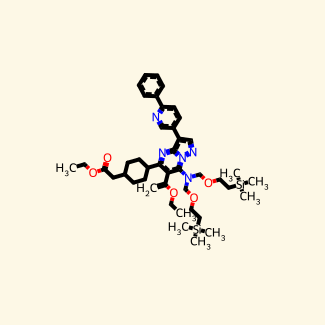 C=C(OCC)c1c(C2CCC(CC(=O)OCC)CC2)nc2c(-c3ccc(-c4ccccc4)nc3)cnn2c1N(COCC[Si](C)(C)C)COCC[Si](C)(C)C